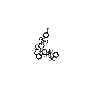 Cc1cccc2c1[N+](C1CCN(S(=O)(=O)c3ccc(F)cc3)CC1)(C1CCN(S(=O)(=O)c3ccccc3C(F)(F)F)CC1)C(=O)OC2